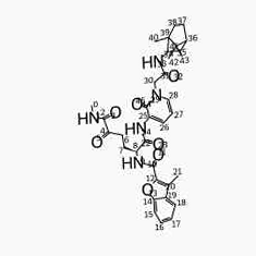 CNC(=O)C(=O)CC[C@H](NC(=O)c1oc2ccccc2c1C)C(=O)Nc1cccn(CC(=O)NC2CC3CCC2(C)C3(C)C)c1=O